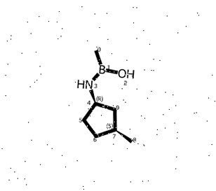 CB(O)N[C@@H]1CC[C@H](C)C1